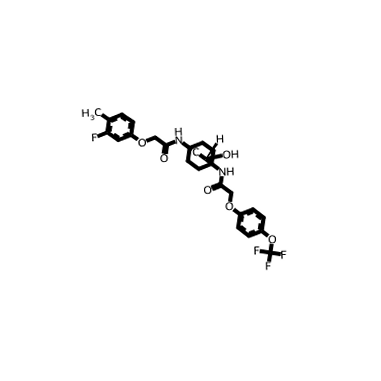 Cc1ccc(OCC(=O)NC23CCC(NC(=O)COc4ccc(OC(F)(F)F)cc4)(CC2)[C@@H](O)C3)cc1F